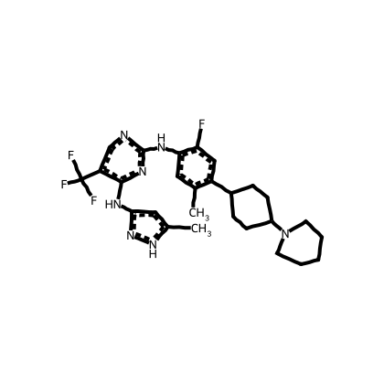 Cc1cc(Nc2nc(Nc3cc(C)c(C4CCC(N5CCCCC5)CC4)cc3F)ncc2C(F)(F)F)n[nH]1